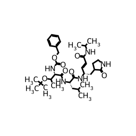 CC(C)C[C@H](NC(=O)[C@@H](NC(=O)OCc1ccccc1)C(C)OC(C)(C)C)C(=O)N[C@H](/C=C/C(=O)NC(C)C)CC1CCNC1=O